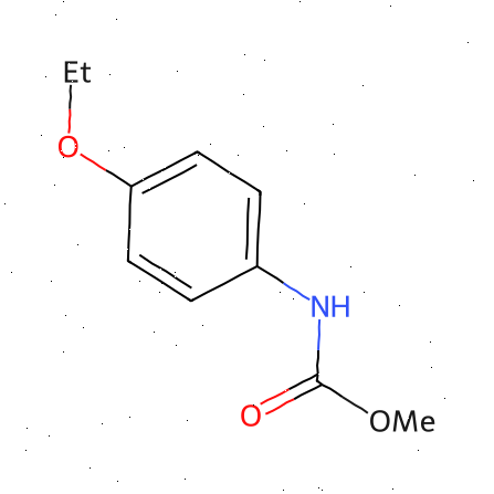 [CH2]OC(=O)Nc1ccc(OCC)cc1